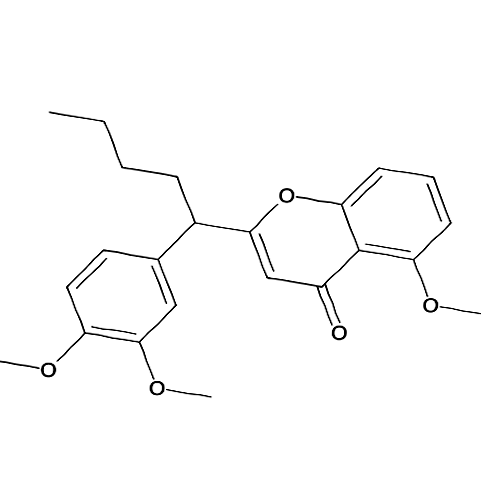 CCCCC(c1ccc(OC)c(OC)c1)c1cc(=O)c2c(OC)cccc2o1